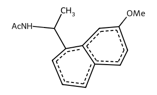 COc1ccc2cccc(C(C)NC(C)=O)c2c1